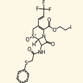 O=C(CSc1ccccc1)NC1C(=O)N2C(C(=O)OCCI)=C(C=CC(F)(F)F)C[S+]([O-])[C@@H]12